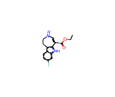 CCOC(=O)C1=CNCCc2c1[nH]c1cc(F)ccc21